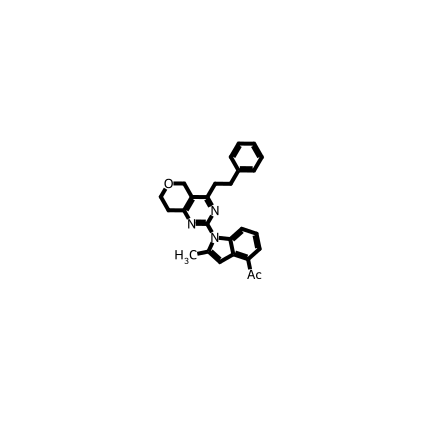 CC(=O)c1cccc2c1cc(C)n2-c1nc2c(c(CCc3ccccc3)n1)COCC2